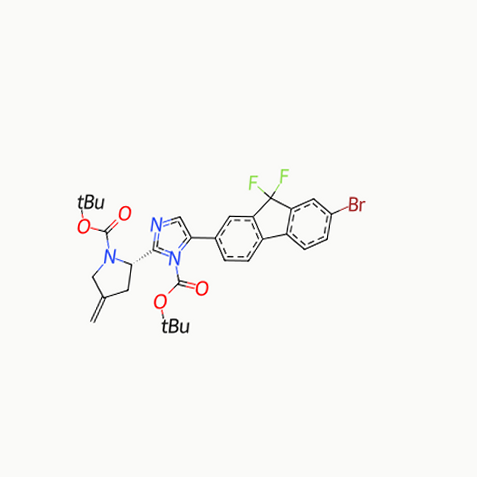 C=C1C[C@@H](c2ncc(-c3ccc4c(c3)C(F)(F)c3cc(Br)ccc3-4)n2C(=O)OC(C)(C)C)N(C(=O)OC(C)(C)C)C1